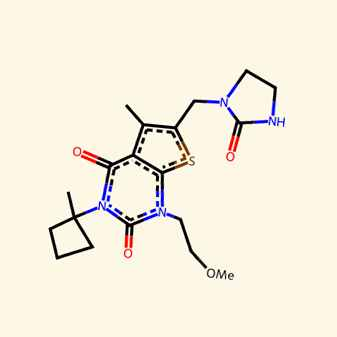 COCCn1c(=O)n(C2(C)CCC2)c(=O)c2c(C)c(CN3CCNC3=O)sc21